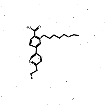 CCCCCCCCc1cc(-c2cnc(CCC)cn2)ccc1C(=O)O